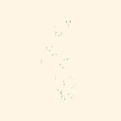 COC(=O)NCc1nc(C)c(-c2csc(-c3cc(F)c4[nH]nnc4c3F)n2)s1